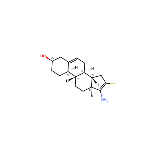 C[C@]12CC[C@H]3[C@@H](CC=C4C[C@H](O)CC[C@@H]43)[C@@H]1CC(F)=C2N